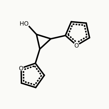 OC1C(c2ccco2)C1c1ccco1